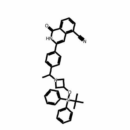 CC(c1ccc(-c2cc3c(C#N)cccc3c(=O)[nH]2)cc1)N1CC(O[Si](c2ccccc2)(c2ccccc2)C(C)(C)C)C1